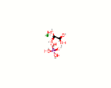 F.O=C(O)C(=O)O.O=P(O)(O)O